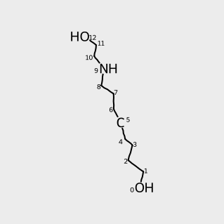 OCCCCCCCCNCCO